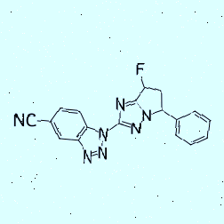 N#Cc1ccc2c(c1)nnn2-c1nc2n(n1)C(c1ccccc1)CC2F